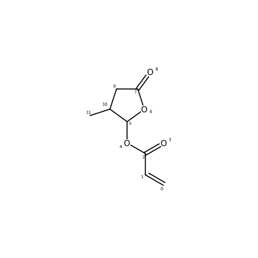 C=CC(=O)OC1OC(=O)CC1C